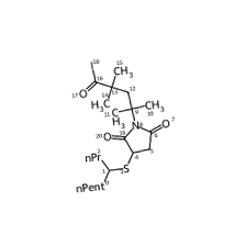 CCCCCC(CCC)SC1CC(=O)N(C(C)(C)CC(C)(C)C(=O)I)C1=O